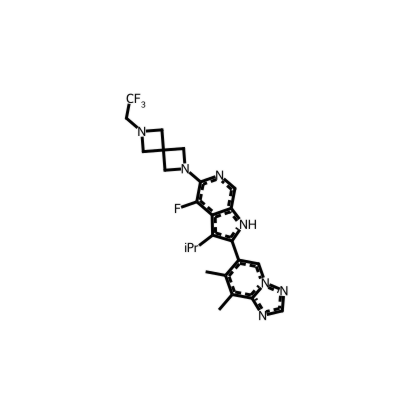 Cc1c(-c2[nH]c3cnc(N4CC5(CN(CC(F)(F)F)C5)C4)c(F)c3c2C(C)C)cn2ncnc2c1C